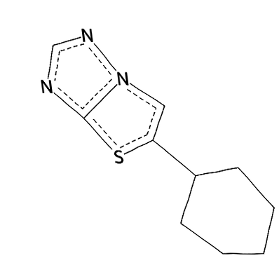 c1nc2sc(C3CCCCC3)cn2n1